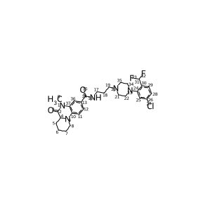 CN1C(=O)C2CCCCN2c2ccc(C(=O)NCCCN3CCN(c4cc(Cl)ccc4C(F)F)CC3)cc21